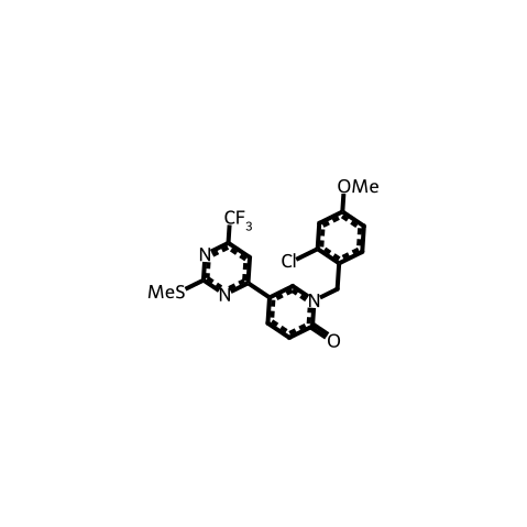 COc1ccc(Cn2cc(-c3cc(C(F)(F)F)nc(SC)n3)ccc2=O)c(Cl)c1